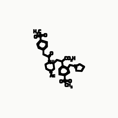 CC(=O)N1CCN(C(=O)Cc2ccc(S(C)(=O)=O)cc2)[C@@H](CC(C(=O)O)c2ccc(S(C)(=O)=O)cc2CN2CCCC2)C1